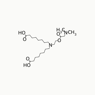 CN(C)CC(=O)OCCN(CCCCCCCC(=O)O)CCCCCCCC(=O)O